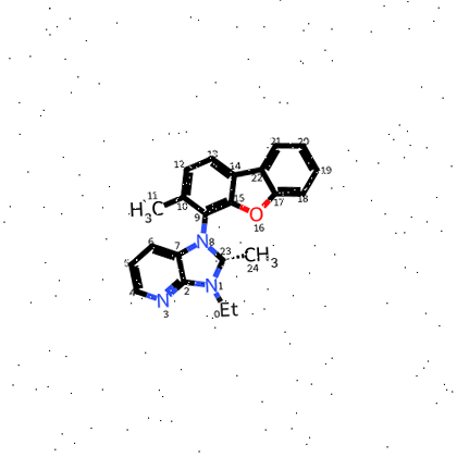 CCN1c2ncccc2N(c2c(C)ccc3c2oc2ccccc23)[C@@H]1C